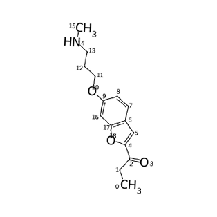 CCC(=O)c1cc2ccc(OCCCNC)cc2o1